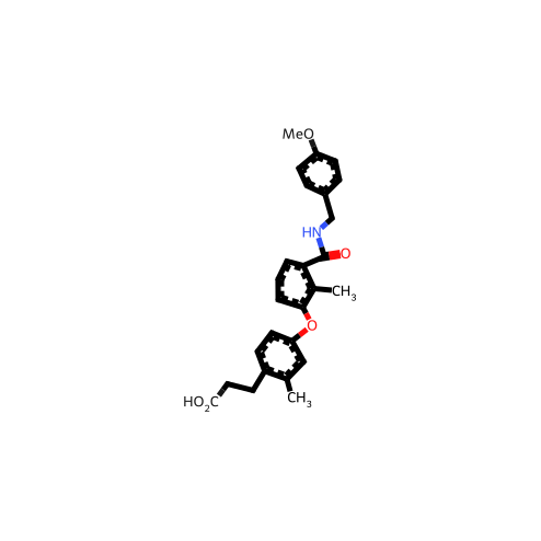 COc1ccc(CNC(=O)c2cccc(Oc3ccc(CCC(=O)O)c(C)c3)c2C)cc1